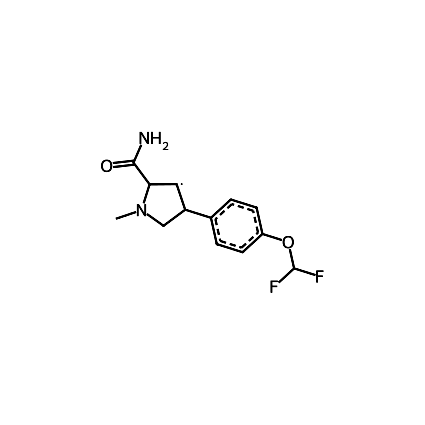 CN1CC(c2ccc(OC(F)F)cc2)[CH]C1C(N)=O